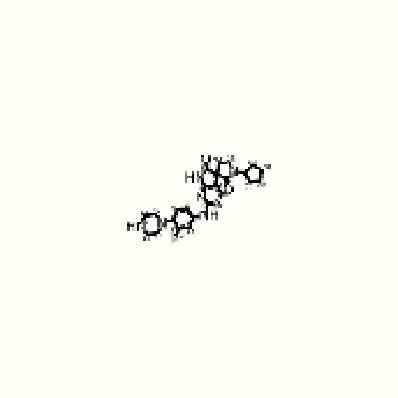 O=C1Nc2nc(Nc3ccc(N4CCNCC4)c(F)c3)ncc2C12CCN(C1CCCC1)C2=O